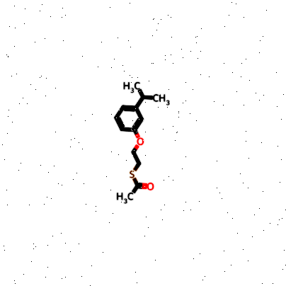 CC(=O)SCCOc1cccc(C(C)C)c1